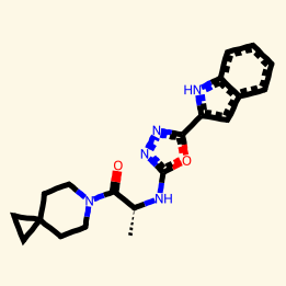 C[C@@H](Nc1nnc(-c2cc3ccccc3[nH]2)o1)C(=O)N1CCC2(CC1)CC2